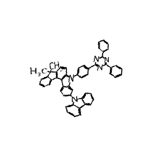 CC1(C)c2ccccc2-c2c1ccc1c2c2ccc(-n3c4ccccc4c4ccccc43)cc2n1-c1ccc(-c2nc(-c3ccccc3)nc(-c3ccccc3)n2)cc1